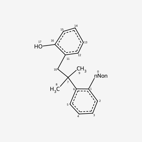 CCCCCCCCCc1ccccc1C(C)(C)Cc1ccccc1O